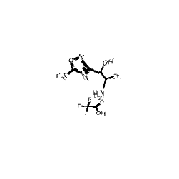 CCC(N)[C@H](O)c1noc(C(F)(F)F)n1.O=C(O)C(F)(F)F